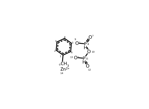 Cc1ccccc1.O=[PH]([O-])O[PH](=O)[O-].[Zn+2]